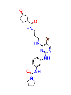 O=C1CCC(C(=O)NCCCNc2nc(Nc3cccc(NC(=O)N4CCCC4)c3)ncc2Br)C1